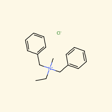 CC[N+](C)(Cc1ccccc1)Cc1ccccc1.[Cl-]